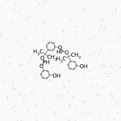 CC(C)(OPOc1cccc(C(C)(C)OPOc2cccc(O)c2)c1)c1cccc(O)c1